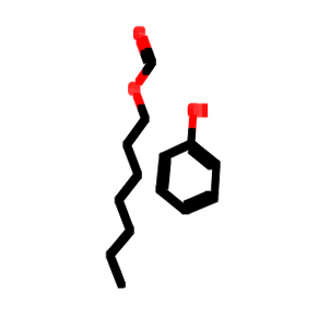 CCCCCCCOC=O.Oc1ccccc1